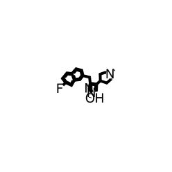 CN1CCC(c2cn(O)nc2Cc2ccc3ccc(F)cc3c2)CC1